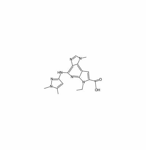 CCn1c(C(=O)O)cc2c3c(ncn3C)c(Nc3cc(C)n(C)n3)nc21